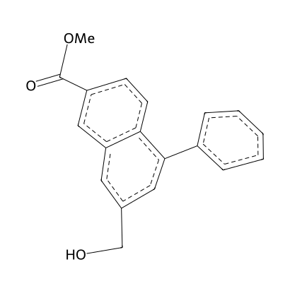 COC(=O)c1ccc2c(-c3ccccc3)cc(CO)cc2c1